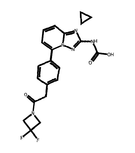 C1CC1.O=C(O)Nc1nc2cccc(-c3ccc(CC(=O)N4CC(F)(F)C4)cc3)n2n1